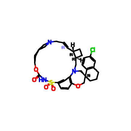 O=C1NS(=O)(=O)c2ccc3c(c2)N(C[C@@H]2CC[C@H]2/C=C/CN2CC4(CC(C4)O1)C2)C[C@@]1(CCCc2cc(Cl)ccc21)CO3